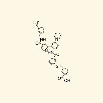 O=C(O)c1cccc(CSc2cccc(C(=O)Nc3ccc(N4CCCCC4)cc3-c3cc(C(=O)NCc4cccc(C(F)(F)F)c4)ccn3)c2)c1